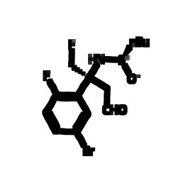 CCCC[S@@+]([O-])N[C@@](CF)(CC=O)c1cc(Br)ccc1F